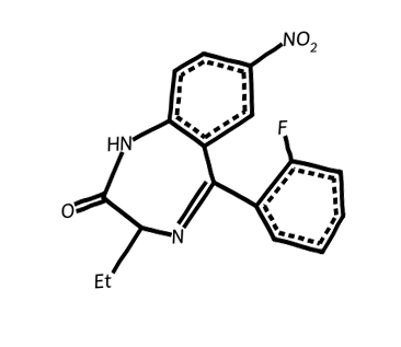 CCC1N=C(c2ccccc2F)c2cc([N+](=O)[O-])ccc2NC1=O